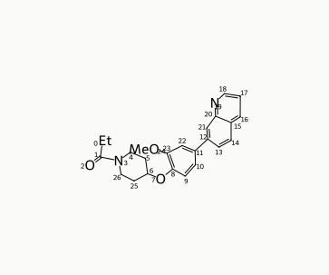 CCC(=O)N1CCC(Oc2ccc(-c3ccc4cccnc4c3)cc2OC)CC1